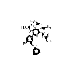 CC(=O)OC[C@H]1OC(c2ccc(Br)c(COc3ccccc3)c2)[C@H](OC(C)=O)[C@@H](OC(C)=O)[C@@H]1OC(C)=O